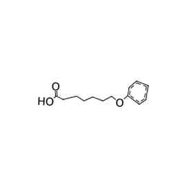 O=C(O)CCCCCCOc1ccccc1